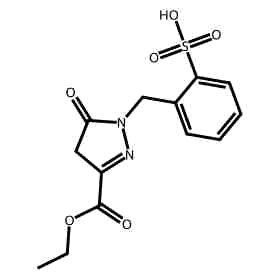 CCOC(=O)C1=NN(Cc2ccccc2S(=O)(=O)O)C(=O)C1